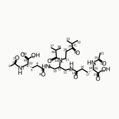 CC(=O)N[C@@H](CCC(=O)NCC(CNC(=O)CC[C@H](NC(C)=O)C(=O)O)N(CCC(=O)C(C)C)C(=O)C(C)C)C(=O)O